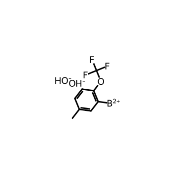 [B+2]c1cc(C)ccc1OC(F)(F)F.[OH-].[OH-]